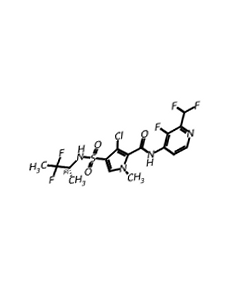 C[C@@H](NS(=O)(=O)c1cn(C)c(C(=O)Nc2ccnc(C(F)F)c2F)c1Cl)C(C)(F)F